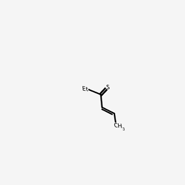 CC=CC(=S)CC